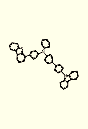 c1ccc(N(c2ccc(-c3ccc(-n4c5ccccc5c5ccccc54)cc3)cc2)c2ccc(-c3cccc4c3sc3ccccc34)cc2)cc1